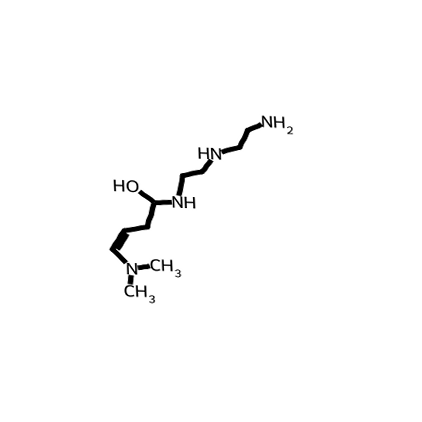 CN(C)/C=C\CC(O)NCCNCCN